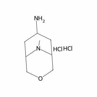 CN1C2COCC1CC(N)C2.Cl.Cl